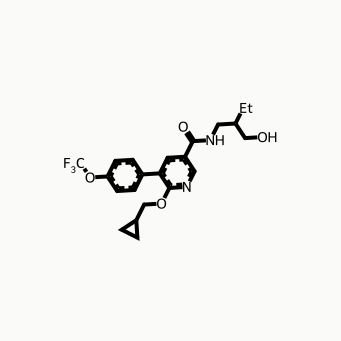 CCC(CO)CNC(=O)c1cnc(OCC2CC2)c(-c2ccc(OC(F)(F)F)cc2)c1